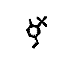 C=Cc1ccc(C)c(C(C)(C)C)c1